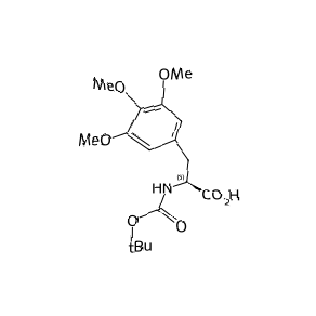 COc1cc(C[C@H](NC(=O)OC(C)(C)C)C(=O)O)cc(OC)c1OC